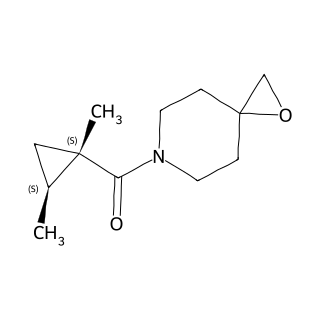 C[C@H]1C[C@]1(C)C(=O)N1CCC2(CC1)CO2